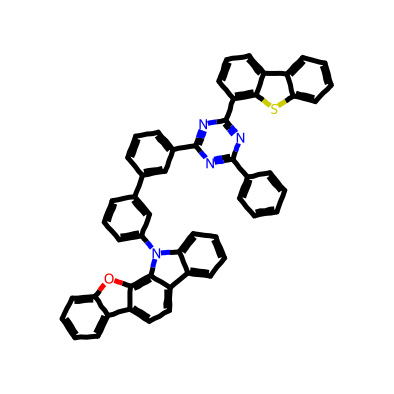 c1ccc(-c2nc(-c3cccc(-c4cccc(-n5c6ccccc6c6ccc7c8ccccc8oc7c65)c4)c3)nc(-c3cccc4c3sc3ccccc34)n2)cc1